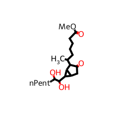 CCCCCC(O)C(O)C1C2CC(=O)C(C(C)CCCCC(=O)OC)C21